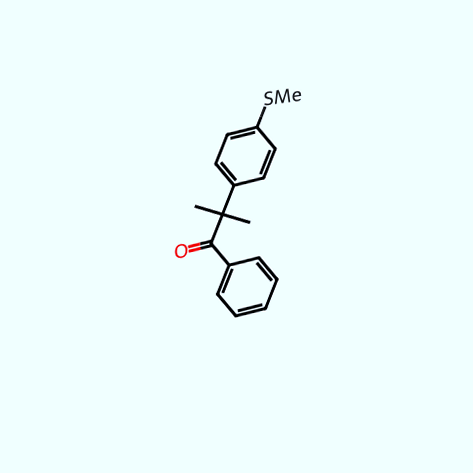 CSc1ccc(C(C)(C)C(=O)c2ccccc2)cc1